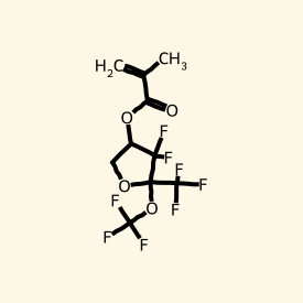 C=C(C)C(=O)OC1COC(OC(F)(F)F)(C(F)(F)F)C1(F)F